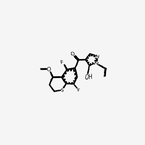 CCn1ncc(C(=O)c2cc(F)c3c(c2F)C(OC)CCS3)c1O